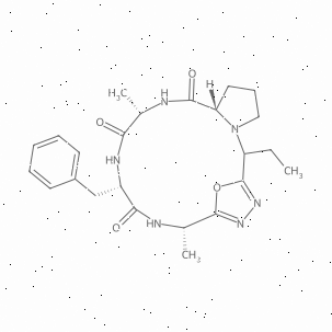 CCC1c2nnc(o2)[C@H](C)NC(=O)[C@H](Cc2ccccc2)NC(=O)[C@H](C)NC(=O)[C@@H]2CCCN12